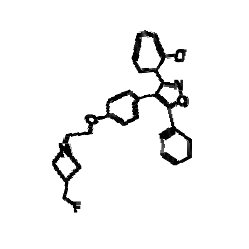 FCC1CN(CCOc2ccc(-c3c(-c4ccccc4Cl)noc3-c3ccccc3)cc2)C1